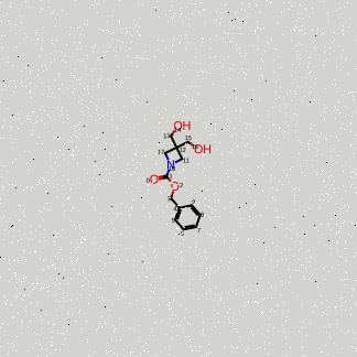 O=C(OCc1ccccc1)N1CC(CO)(CO)C1